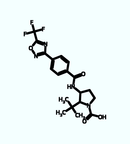 CC(C)(C)C1C(NC(=O)c2ccc(-c3noc(C(F)(F)F)n3)cc2)CCN1C(=O)O